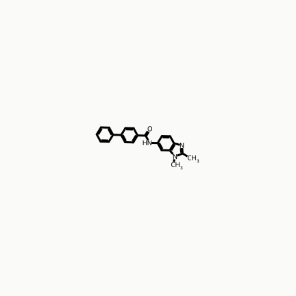 Cc1nc2ccc(NC(=O)c3ccc(-c4ccccc4)cc3)cc2n1C